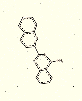 Nc1nc(-c2ccc3ccccc3n2)nc2ccccc12